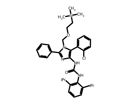 CC(C)c1cccc(C(C)C)c1NC(=O)Nc1nc(-c2ccccc2)n(COCC[Si](C)(C)C)c1-c1ccccc1Cl